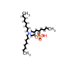 CCCCCCCC[N+](CCCCCCCC)(CCCCCCCC)CCOS(=O)(=O)O